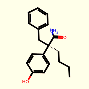 CCCC[C@](Cc1ccccc1)(C(N)=O)c1ccc(O)cc1